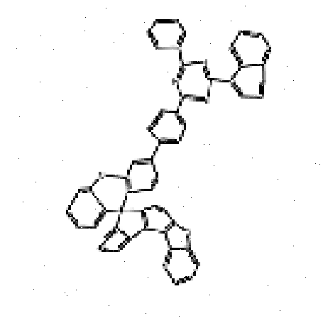 c1ccc(-c2nc(-c3ccc(-c4ccc5c(c4)Oc4ccccc4C54c5ccccc5-c5c4ccc4oc6ccccc6c54)cc3)nc(-c3cccc4ccccc34)n2)cc1